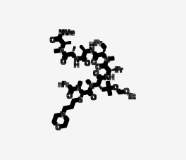 CCCC(=O)N(C)[C@H](SCCCN1CCOCC1)C(=O)N(C)[C@@H](CC(C)(C)OCOCC)C(=O)N[C@H](C(=O)N(C)[C@@H](CC(C)C)C(=O)N[C@H](C)C(=O)N[C@@H](C)C(=O)N(C)[C@H](C)C(=O)NC)C(C)C